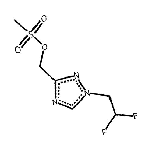 CS(=O)(=O)OCc1ncn(CC(F)F)n1